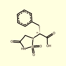 O=C1CN([C@H](Cc2ccccc2)C(=O)O)S(=O)(=O)N1